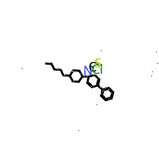 CCCCCC1CCC(C2(N=C=S)C=CC(c3ccccc3)=CC2Cl)CC1